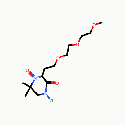 COCCOCCOCCC1C(=O)N(Cl)CC(C)(C)[N+]1=O